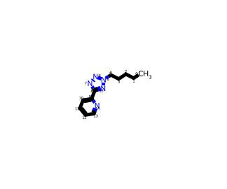 CCCCCn1nnc(-c2ccccn2)n1